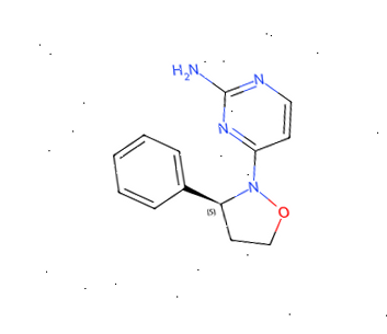 Nc1nccc(N2OCC[C@H]2c2ccccc2)n1